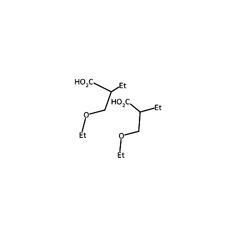 CCOCC(CC)C(=O)O.CCOCC(CC)C(=O)O